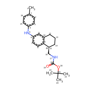 Cc1ccc(Nc2ccc3c(c2)CCC[C@H]3CNC(=O)OC(C)(C)C)cc1